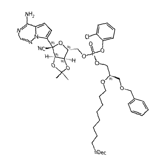 CCCCCCCCCCCCCCCCCCO[C@H](COCc1ccccc1)COP(=O)(OC[C@H]1O[C@@](C#N)(c2ccc3c(N)ncnn23)[C@@H]2OC(C)(C)O[C@@H]21)Oc1ccccc1Cl